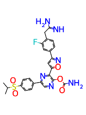 CC(C)S(=O)(=O)c1ccc(-c2cnc(OC(N)=O)c(-c3cc(-c4ccc(CC(=N)N)c(F)c4)no3)n2)cc1